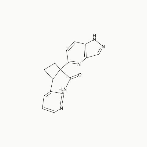 NC(=O)C1(c2ccc3[nH]ncc3n2)CCC1c1cccnc1